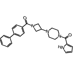 O=C(c1ccc(-c2ccccc2)cc1)N1CC(N2CCN(C(=O)c3ccc[nH]3)CC2)C1